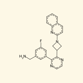 NCc1cc(F)cc(-c2nccnc2C2CN(c3ccc4ccccc4n3)C2)c1